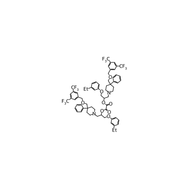 CCc1cccc(OCC(CN2CCC(COCc3cc(C(F)(F)F)cc(C(F)(F)F)c3)(c3ccccc3)CC2)OC(=O)C(=O)OC(COc2cccc(CC)c2)CN2CCC(COCc3cc(C(F)(F)F)cc(C(F)(F)F)c3)(c3ccccc3)CC2)c1